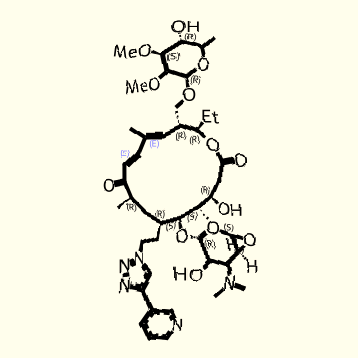 CC[C@H]1OC(=O)C[C@@H](O)[C@H](C)[C@@H](O[C@@H]2O[C@@H]3O[C@H]3C(N(C)C)C2O)[C@@H](CCn2cc(-c3cccnc3)nn2)C[C@@H](C)C(=O)/C=C/C(C)=C/[C@@H]1CO[C@@H]1OC(C)[C@@H](O)[C@H](OC)C1OC